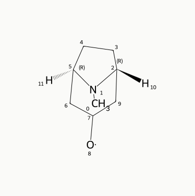 CN1[C@@H]2CC[C@@H]1CC([O])C2